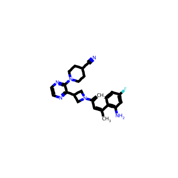 C=C(/C=C(/C)c1ccc(F)cc1N)N1CC(c2nccnc2N2CCC(C#N)CC2)C1